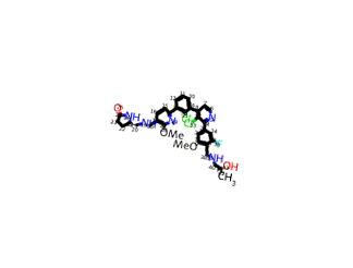 COc1cc(-c2nccc(-c3cccc(-c4ccc(CNC[C@@H]5CCC(=O)N5)c(OC)n4)c3Cl)c2Cl)cc(F)c1CNC[C@@H](C)O